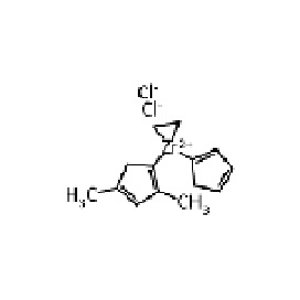 CC1=CC(C)=[C]([Zr+2]2([C]3=CC=CC3)[CH2][CH2]2)C1.[Cl-].[Cl-]